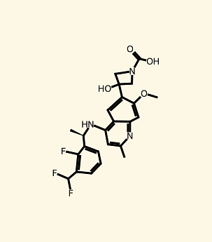 COc1cc2nc(C)cc(N[C@H](C)c3cccc(C(F)F)c3F)c2cc1C1(O)CN(C(=O)O)C1